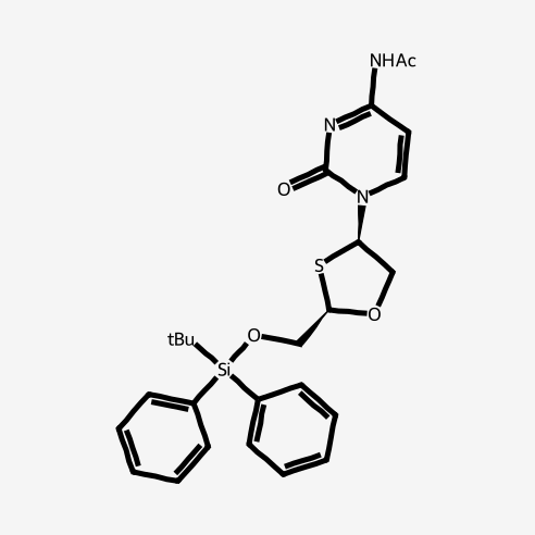 CC(=O)Nc1ccn([C@H]2CO[C@@H](CO[Si](c3ccccc3)(c3ccccc3)C(C)(C)C)S2)c(=O)n1